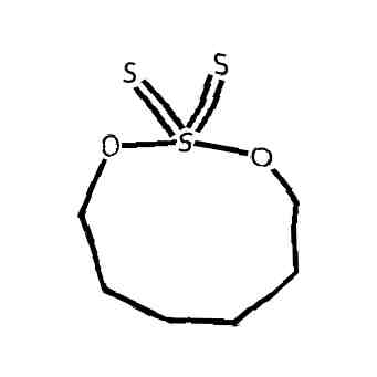 S=S1(=S)OCCCCCCO1